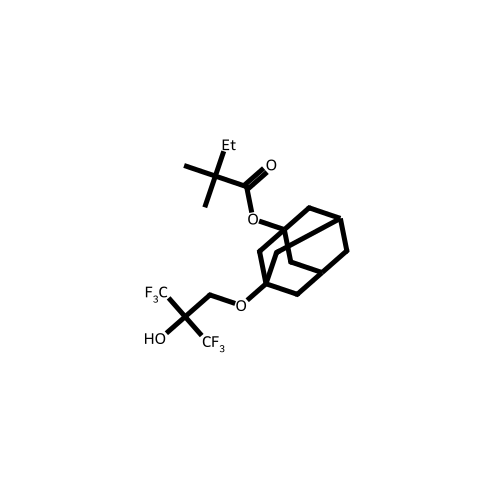 CCC(C)(C)C(=O)OC12CC3CC(CC(OCC(O)(C(F)(F)F)C(F)(F)F)(C3)C1)C2